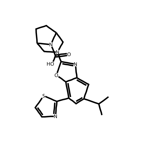 CC(C)c1cc(-c2nccs2)c2oc(N3CC4CCC(C3)N4C(=O)O)nc2c1